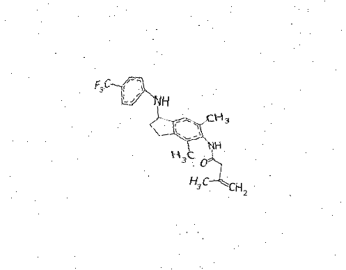 C=C(C)CC(=O)Nc1c(C)cc2c(c1C)CCC2Nc1ccc(C(F)(F)F)cc1